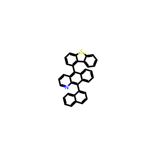 c1ccc2c(-c3c4ccccc4c(-c4cccc5sc6ccccc6c45)c4cccnc34)cccc2c1